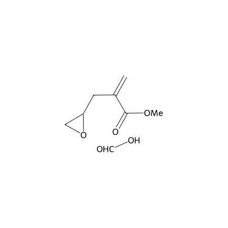 C=C(CC1CO1)C(=O)OC.O=CO